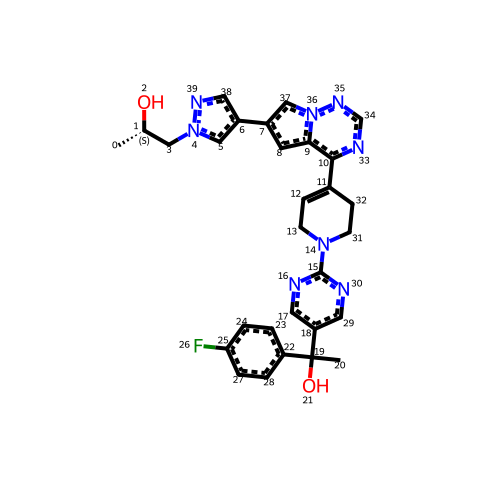 C[C@H](O)Cn1cc(-c2cc3c(C4=CCN(c5ncc(C(C)(O)c6ccc(F)cc6)cn5)CC4)ncnn3c2)cn1